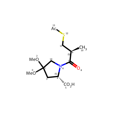 COC1(OC)C[C@@H](C(=O)O)N(C(=O)[C@H](C)CSC(C)=O)C1